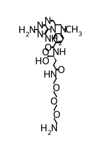 CN(Cc1cnc2nc(N)nc(N)c2n1)c1ccc(C(=O)N[C@@H](CCC(=O)NCCOCCOCCOCCN)C(=O)O)cc1